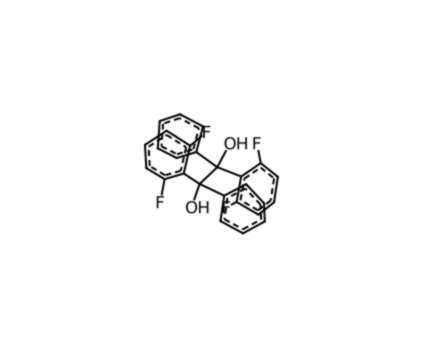 OC(c1ccccc1)(c1c(F)cccc1F)C(O)(c1ccccc1)c1c(F)cccc1F